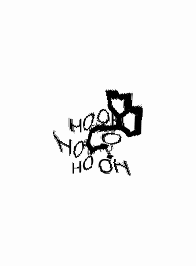 OC[C@H]1O[C@](O)(c2cccc3ccccc23)[C@H](O)[C@@H](O)[C@@H]1O